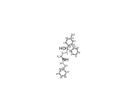 CC(CCC1(O)c2ccccc2-c2cc(I)ccc21)NCCc1ccccc1